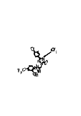 CCc1nc(Cn2nc(-c3ccc(Cl)cc3)n(CCC(F)(F)F)c2=O)nn1-c1ccc(C(F)(F)F)cc1Cl